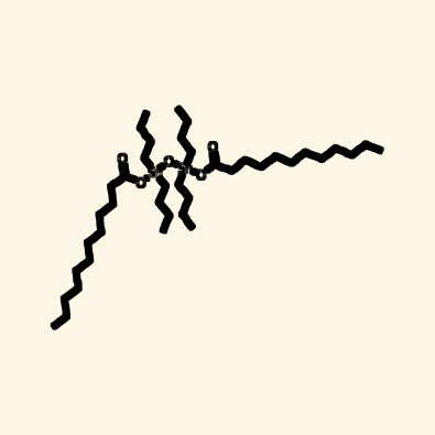 CCCCCCCCCCCC(=O)[O][Sn]([CH2]CCC)([CH2]CCC)[O][Sn]([CH2]CCC)([CH2]CCC)[O]C(=O)CCCCCCCCCCC